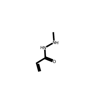 C=CC(=O)NNC